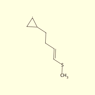 CSC=CCCC1[CH]C1